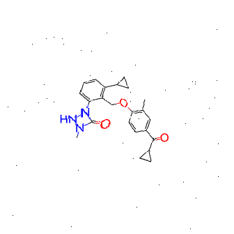 Cc1cc(C(=O)C2CC2)ccc1OCc1c(C2CC2)cccc1-n1[nH]n(C)c1=O